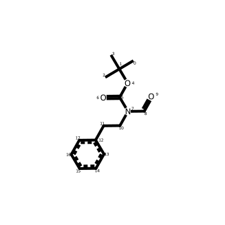 CC(C)(C)OC(=O)N(C=O)CCc1ccccc1